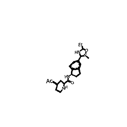 CCC1NC(c2ccc3c(c2)CC[C@H]3NC(=O)C2CC(C(C)=O)CCN2)N(C)O1